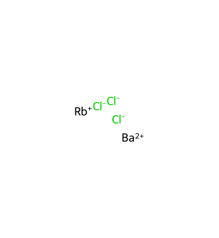 [Ba+2].[Cl-].[Cl-].[Cl-].[Rb+]